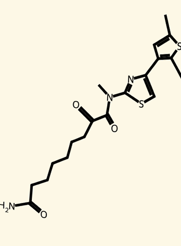 Cc1cc(-c2csc(N(C)C(=O)C(=O)CCCCCCC(N)=O)n2)c(C)s1